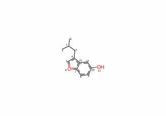 CC(C)Cc1coc2ccc(O)cc12